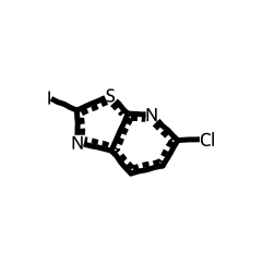 Clc1ccc2nc(I)sc2n1